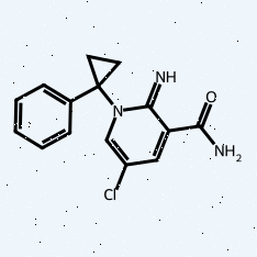 N=c1c(C(N)=O)cc(Cl)cn1C1(c2ccccc2)CC1